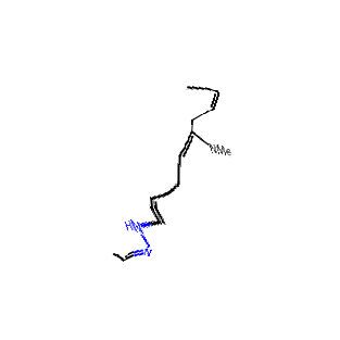 C/C=C\C/C(=C/C/C=C/N/N=C\C)NC